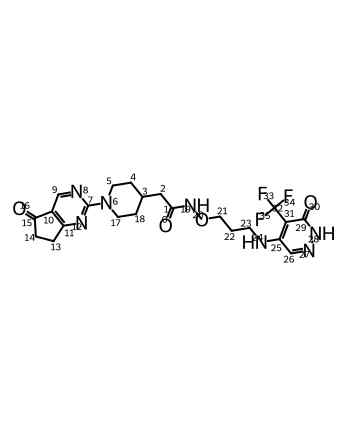 O=C(CC1CCN(c2ncc3c(n2)CCC3=O)CC1)NOCCCNc1cn[nH]c(=O)c1C(F)(F)F